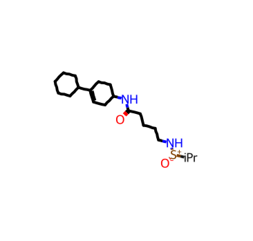 CC(C)[S+]([O-])NCCCCC(=O)NC1CC=C(C2CCCCC2)CC1